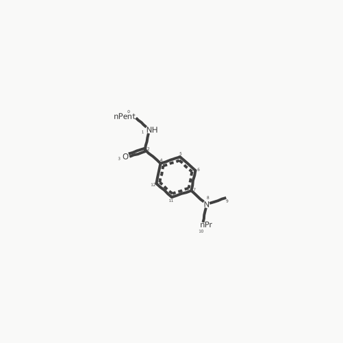 CCCCCNC(=O)c1ccc(N(C)CCC)cc1